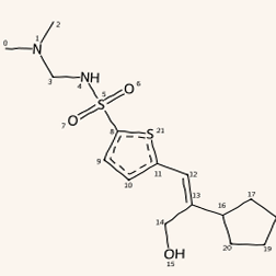 CN(C)CNS(=O)(=O)c1ccc(/C=C(\CO)C2CCCC2)s1